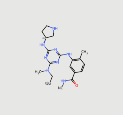 Cc1ccc(C(=O)NC#N)cc1Nc1nc(N[C@H]2CCNC2)nc(N(C)CC(C)(C)C)n1